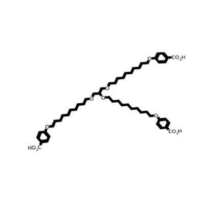 O=C(O)c1ccc(OCCCCCCCCCCOCC(COCCCCCCCCCCOc2ccc(C(=O)O)cc2)OCCCCCCCCCCOc2ccc(C(=O)O)cc2)cc1